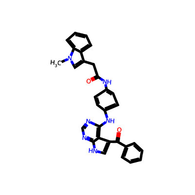 Cn1cc(CC(=O)Nc2ccc(Nc3ncnc4[nH]cc(C(=O)c5ccccc5)c34)cc2)c2ccccc21